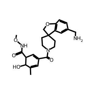 CONC(=O)C1C=C(C(=O)N2CCC3(CC2)COc2ccc(CN)cc23)C=C(C)C1O